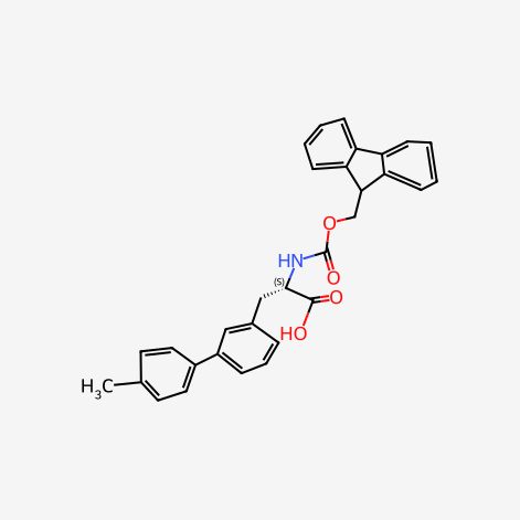 Cc1ccc(-c2cccc(C[C@H](NC(=O)OCC3c4ccccc4-c4ccccc43)C(=O)O)c2)cc1